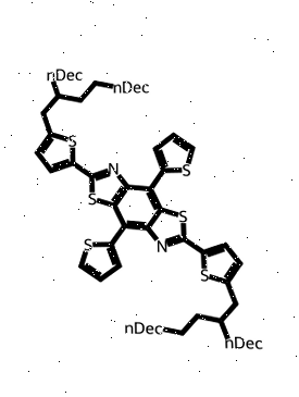 CCCCCCCCCCCCC(CCCCCCCCCC)Cc1ccc(-c2nc3c(-c4cccs4)c4sc(-c5ccc(CC(CCCCCCCCCC)CCCCCCCCCCCC)s5)nc4c(-c4cccs4)c3s2)s1